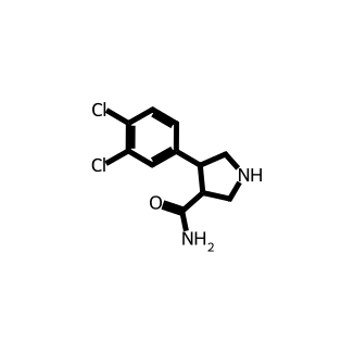 NC(=O)C1CNCC1c1ccc(Cl)c(Cl)c1